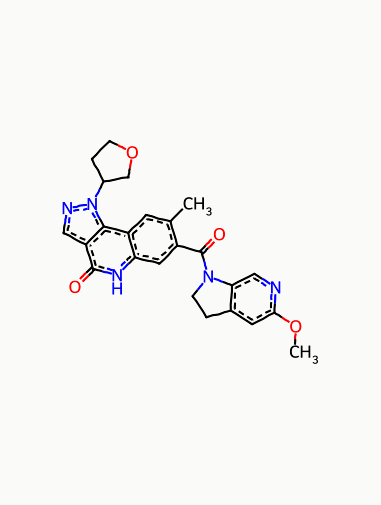 COc1cc2c(cn1)N(C(=O)c1cc3[nH]c(=O)c4cnn(C5CCOC5)c4c3cc1C)CC2